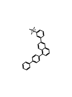 C[N+](C)(C)c1cccc(-c2ccc3c(-c4ccc(-c5ccccc5)cc4)cccc3c2)c1